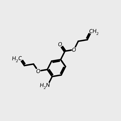 C=CCOC(=O)c1ccc(N)c(OCC=C)c1